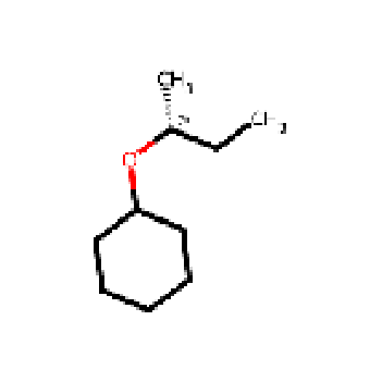 CC[C@@H](C)OC1CCCCC1